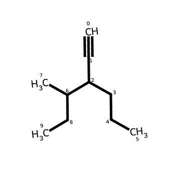 C#CC(CCC)C(C)CC